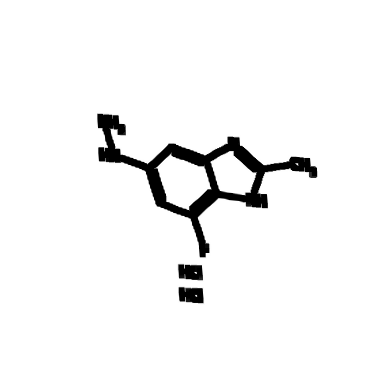 Cc1nc2cc(NN)cc(F)c2[nH]1.Cl.Cl